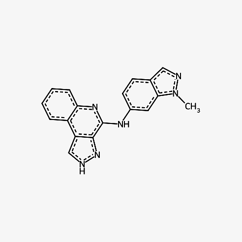 Cn1ncc2ccc(Nc3nc4ccccc4c4c[nH]nc34)cc21